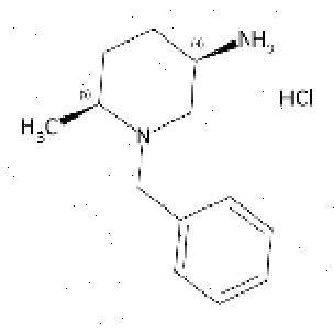 C[C@H]1CC[C@@H](N)CN1Cc1ccccc1.Cl